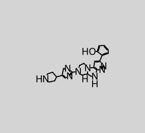 Oc1ccccc1-c1cc2c(nn1)NC[C@H]1CN(c3ncc(C4CCNCC4)cn3)CCN21